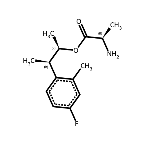 Cc1cc(F)ccc1[C@@H](C)[C@@H](C)OC(=O)[C@@H](C)N